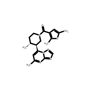 Cc1cc([C@@H]2CN(C(=O)c3cc(C)sc3C)CC[C@H]2C)n2ncnc2n1